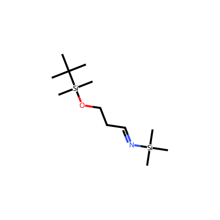 CC(C)(C)[Si](C)(C)OCCC=N[Si](C)(C)C